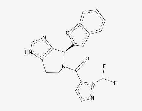 O=C(c1ccnn1C(F)F)N1CCc2[nH]cnc2[C@H]1c1cc2ccccc2o1